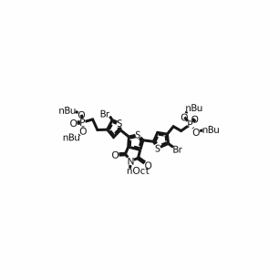 CCCCCCCCN1C(=O)c2c(-c3cc(CCP(=O)(OCCCC)OCCCC)c(Br)s3)sc(-c3cc(CCP(=O)(OCCCC)OCCCC)c(Br)s3)c2C1=O